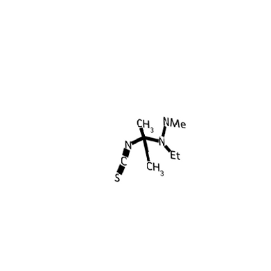 CCN(NC)C(C)(C)N=C=S